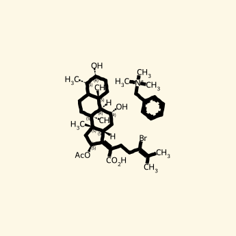 CC(=O)O[C@H]1C[C@@]2(C)[C@H](C[C@@H](O)[C@@H]3[C@@]4(C)CC[C@@H](O)[C@@H](C)C4CC[C@@]32C)C1=C(CCC(Br)=C(C)C)C(=O)O.C[N+](C)(C)Cc1ccccc1